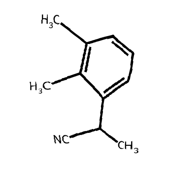 Cc1cccc(C(C)C#N)c1C